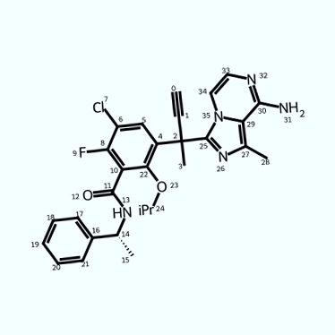 C#CC(C)(c1cc(Cl)c(F)c(C(=O)N[C@H](C)c2ccccc2)c1OC(C)C)c1nc(C)c2c(N)nccn12